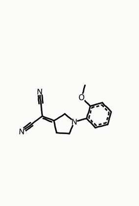 COc1ccccc1N1CCC(=C(C#N)C#N)C1